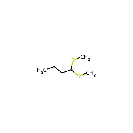 CCCC(SC)SC